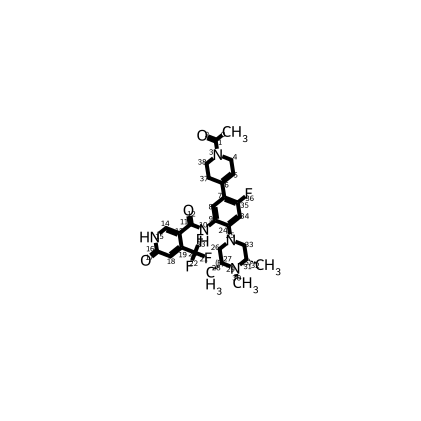 CC(=O)N1CC=C(c2cc(NC(=O)c3c[nH]c(=O)cc3C(F)(F)F)c(N3C[C@@H](C)N(C)[C@@H](C)C3)cc2F)CC1